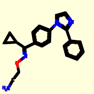 NCCON=C(c1ccc(-n2ccnc2-c2ccccc2)cc1)C1CC1